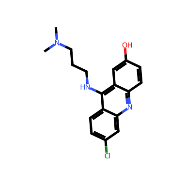 CN(C)CCCNc1c2ccc(Cl)cc2nc2ccc(O)cc12